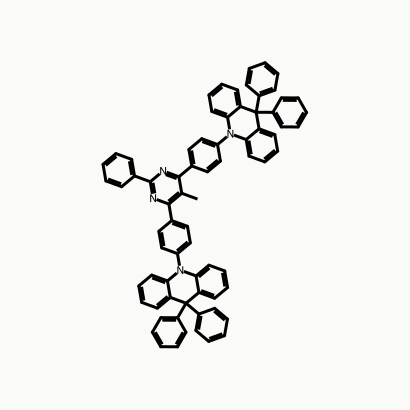 Cc1c(-c2ccc(N3c4ccccc4C(c4ccccc4)(c4ccccc4)c4ccccc43)cc2)nc(-c2ccccc2)nc1-c1ccc(N2c3ccccc3C(c3ccccc3)(c3ccccc3)c3ccccc32)cc1